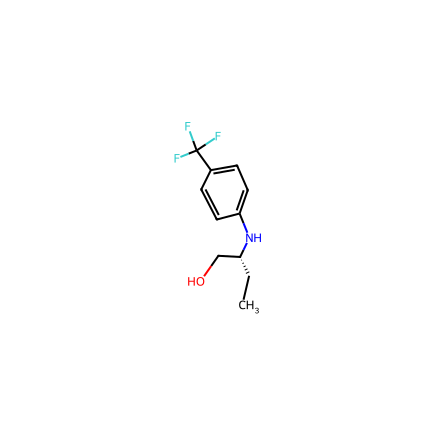 CC[C@H](CO)Nc1ccc(C(F)(F)F)cc1